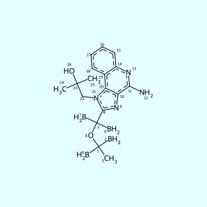 BC(B)(C)OC(B)(B)c1nc2c(N)nc3ccccc3c2n1CC(C)(C)O